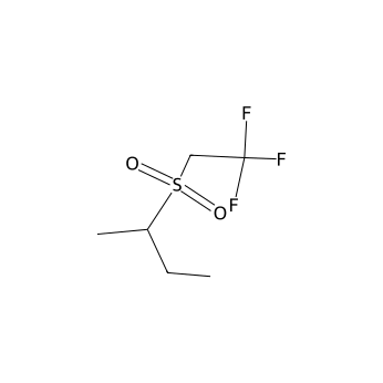 CCC(C)S(=O)(=O)CC(F)(F)F